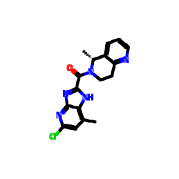 Cc1cc(Cl)nc2nc(C(=O)N3CCc4ncccc4[C@H]3C)[nH]c12